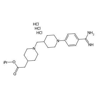 CC(C)OC(=O)CC1CCN(CC2CCN(c3ccc(C(=N)N)cc3)CC2)CC1.Cl.Cl.Cl